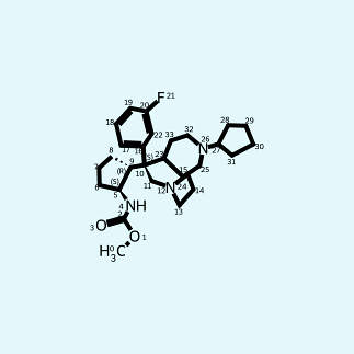 COC(=O)N[C@H]1CCC[C@@H]1[C@](CN1CCC1)(c1cccc(F)c1)C1CCN(C2CCCC2)CC1